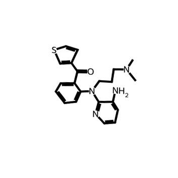 CN(C)CCCN(c1ccccc1C(=O)c1ccsc1)c1ncccc1N